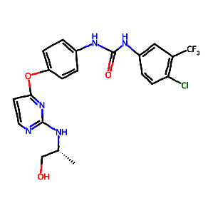 C[C@H](CO)Nc1nccc(Oc2ccc(NC(=O)Nc3ccc(Cl)c(C(F)(F)F)c3)cc2)n1